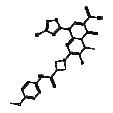 COc1ccc(NC(=O)C2CN(C3=C(F)C(C)C4C(=O)C(C(=O)O)=CN(c5nc(Cl)ns5)C4=N3)C2)nc1